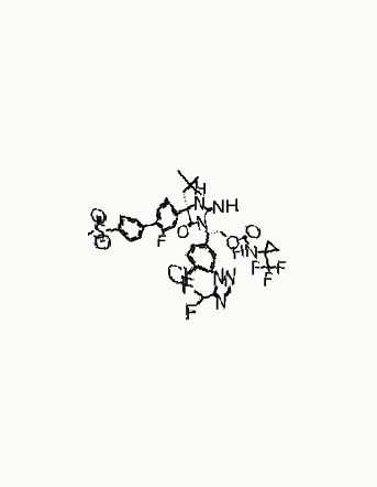 CC(C)(C)C[C@]1(c2ccc(-c3ccc(S(C)(=O)=O)cc3)c(F)c2)NC(=N)N([C@H](COC(=O)NC2(C(F)(F)F)CC2)c2ccc(Cl)c(-n3ncnc3C(F)F)c2)C1=O